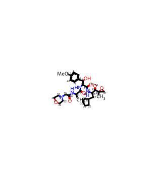 COc1ccc(C(O)C(NC(=O)C(C)NC(=O)CN2CCOCC2)C(=O)NC(CC2CCCC2)C(=O)C2(C)CO2)cc1